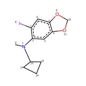 CN(c1cc2c(cc1I)OCO2)C1CCC1